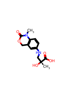 CN1C(=O)OCc2cc(NC[C@@](C)(O)C(=O)O)ccc21